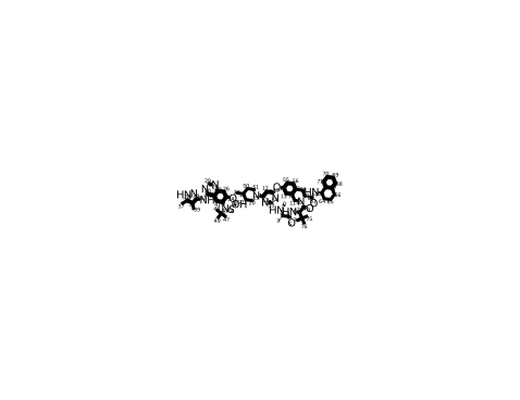 CN[C@@H](C)C(=O)NC(C(=O)N1Cc2cc(Oc3cc(N4CCC(COc5cc6ncnc(Nc7n[nH]c(C)c7C)c6cc5N(SO)C(C)(C)C)CC4)ncn3)ccc2C[C@H]1C(=O)N[C@@H]1CCCc2ccccc21)C(C)(C)C